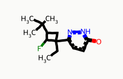 CCC1(c2ccc(=O)[nH]n2)CC(C(C)(C)C)C1F